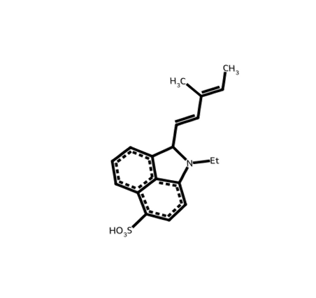 C/C=C(C)/C=C/C1c2cccc3c(S(=O)(=O)O)ccc(c23)N1CC